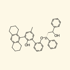 Cc1cc(-c2ccccc2O[C@H](CC(O)c2ccccc2)c2ccccc2)c(O)c(-c2c3c(cc4c2CCCC4)CCCC3)c1